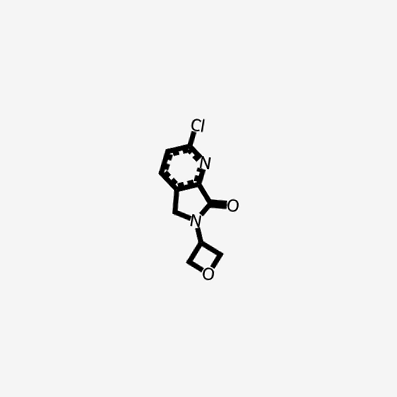 O=C1c2nc(Cl)ccc2CN1C1COC1